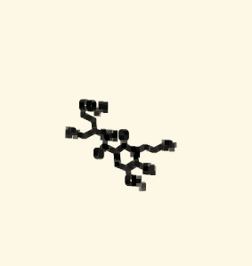 CCc1c(C)cc(C(=O)NC(CCC(=O)O)CC(C)C)c(=O)n1CCC(C)C